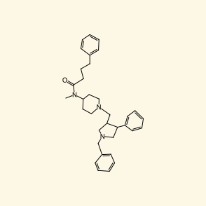 CN(C(=O)CCCc1ccccc1)C1CCN(CC2CN(Cc3ccccc3)CC2c2ccccc2)CC1